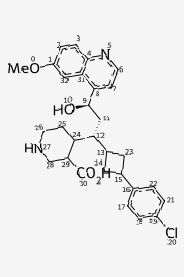 COc1ccc2nccc([C@H](O)C[C@H](C3CC(c4ccc(Cl)cc4)C3)C3CCNCC3C(=O)O)c2c1